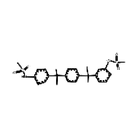 CC(C)(c1ccc(NS(C)(=O)=O)cc1)c1ccc(C(C)(C)c2cccc(NS(C)(=O)=O)c2)cc1